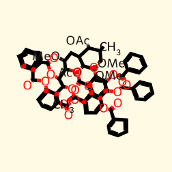 COC(CC(C(OC(C)=O)C(C)COC1OC(COC(=O)c2ccccc2)C(OC(=O)c2ccccc2)C(OC(=O)c2ccccc2)C1OC(=O)c1ccccc1)C(OC(C)=O)C(OC)OC)C(OC(=O)c1ccccc1)C(OC(=O)c1ccccc1)C(OC(=O)c1ccccc1)C(C)COC(=O)c1ccccc1